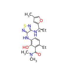 CCc1ccc(Nc2nsnc2N[C@H](CC)c2cc(C)co2)c(O)c1C(=O)N(C)C